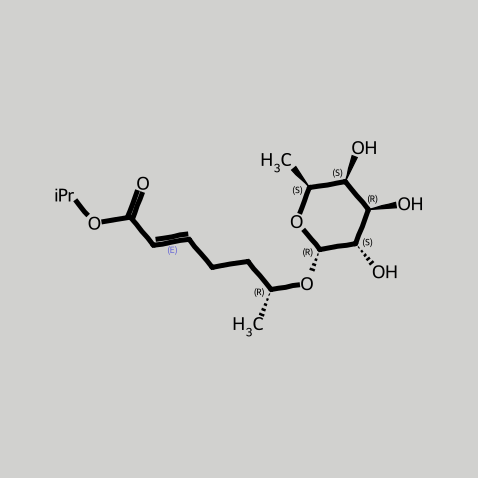 CC(C)OC(=O)/C=C/CC[C@@H](C)O[C@@H]1O[C@@H](C)[C@@H](O)[C@@H](O)[C@@H]1O